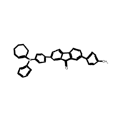 Cc1ccc(-c2ccc3c(c2)C(=O)c2cc(-c4ccc(N(C5=CCCCCC5)c5ccccc5)cc4)ccc2-3)cc1